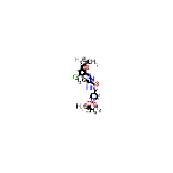 Cc1cc(C(=O)NCC2CCN(C(=O)OC(C)(C)C)CC2)nn1Cc1cc(Cl)cc2cc(C(C)C)oc12